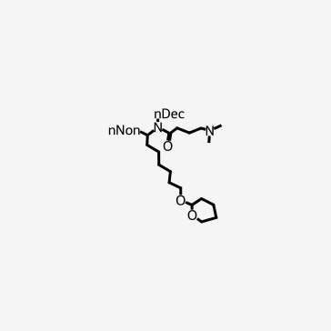 CCCCCCCCCCN(C(=O)CCCN(C)C)C(CCCCCCCCC)CCCCCCOC1CCCCO1